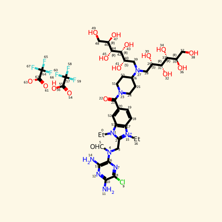 CCn1c(CN(C=O)c2nc(Cl)c(N)nc2N)[n+](CC)c2ccc(C(=O)N3CCC(N(C[C@H](O)[C@@H](O)[C@H](O)[C@H](O)CO)C[C@H](O)[C@@H](O)[C@H](O)[C@H](O)CO)CC3)cc21.O=C(O)C(F)(F)F.O=C([O-])C(F)(F)F